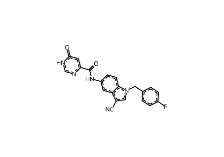 N#Cc1cn(Cc2ccc(F)cc2)c2ccc(NC(=O)c3cc(=O)[nH]cn3)cc12